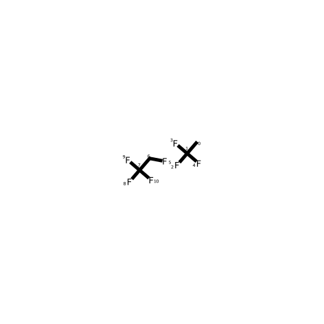 CC(F)(F)F.FCC(F)(F)F